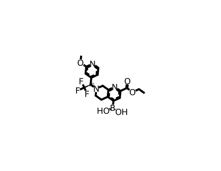 CCOC(=O)c1cc(B(O)O)c2c(n1)CN([C@H](c1ccnc(OC)c1)C(F)(F)F)CC2